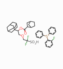 Fc1ccccc1[S+](c1ccccc1)c1ccccc1.O=C(OC(COCC(F)(F)S(=O)(=O)O)C12CC3CC(CC(C3)C1)C2)C1CC2CCC1C2